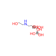 CC(C)(C)O.OB(O)O.OCCNCCO